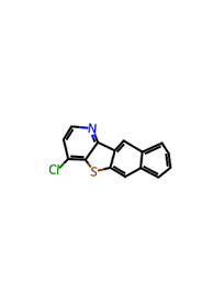 Clc1ccnc2c1sc1cc3ccccc3cc12